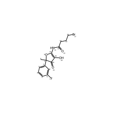 CC1(c2cccc(F)c2)OC(NC(=O)CCCBr)=C(O)C1=O